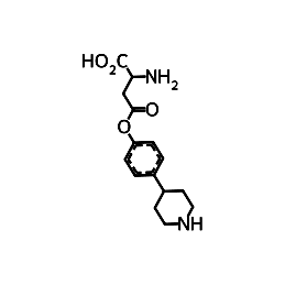 NC(CC(=O)Oc1ccc(C2CCNCC2)cc1)C(=O)O